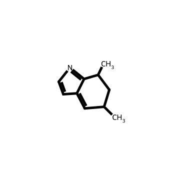 CC1C=C2C=CN=C2C(C)C1